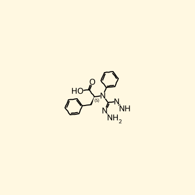 N=NC(=NN)N(c1ccccc1)[C@@H](Cc1ccccc1)C(=O)O